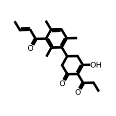 CC=CC(=O)c1c(C)cc(C)c(C2CC(=O)C(C(=O)CC)=C(O)C2)c1C